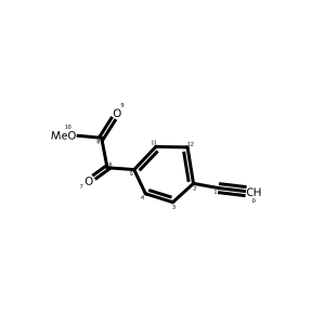 C#Cc1ccc(C(=O)C(=O)OC)cc1